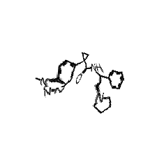 Cn1nnc2cc(C3(C(=O)NC(CN4CCCC4)c4ccccc4)CC3)ccc21